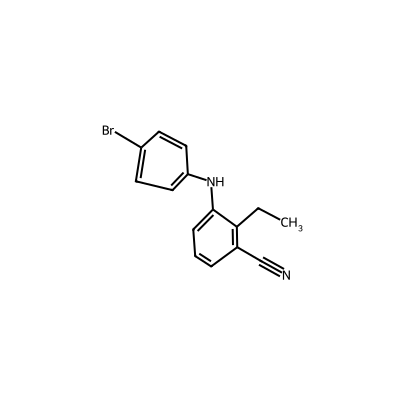 CCc1c(C#N)cccc1Nc1ccc(Br)cc1